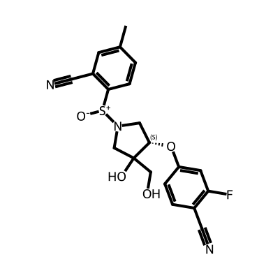 Cc1ccc([S+]([O-])N2C[C@H](Oc3ccc(C#N)c(F)c3)C(O)(CO)C2)c(C#N)c1